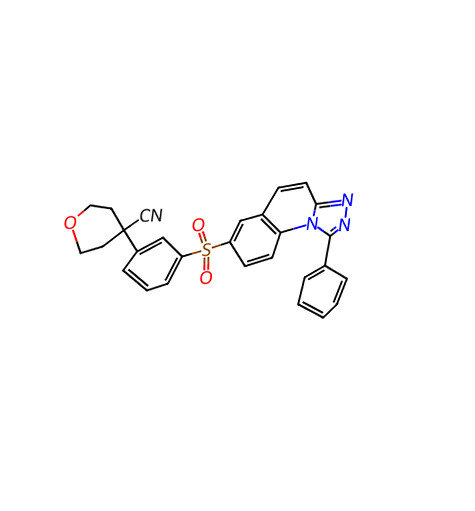 N#CC1(c2cccc(S(=O)(=O)c3ccc4c(ccc5nnc(-c6ccccc6)n54)c3)c2)CCOCC1